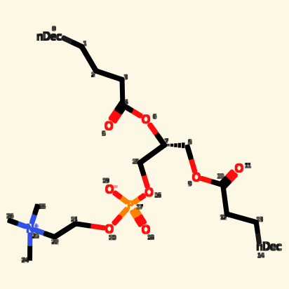 CCCCCCCCCCCCCC(=O)O[C@H](COC(=O)CCCCCCCCCCCC)COP(=O)([O-])OCC[N+](C)(C)C